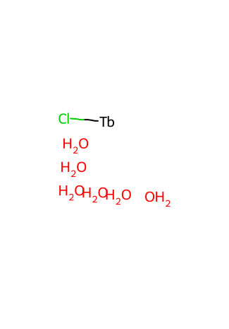 O.O.O.O.O.O.[Cl][Tb]